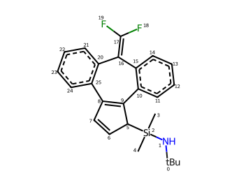 CC(C)(C)N[Si](C)(C)C1C=CC2=C1c1ccccc1C(=C(F)F)c1ccccc12